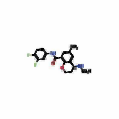 O=C(O)N[C@H]1CCOc2c(C(=O)Nc3ccc(F)c(F)c3)cc([N+](=O)[O-])cc21